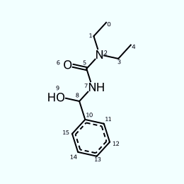 CCN(CC)C(=O)NC(O)c1ccccc1